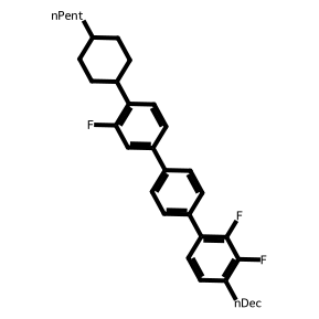 CCCCCCCCCCc1ccc(-c2ccc(-c3ccc(C4CCC(CCCCC)CC4)c(F)c3)cc2)c(F)c1F